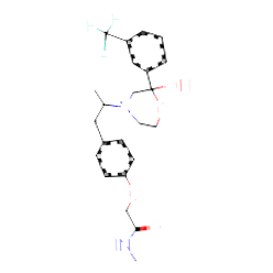 CNC(=O)COc1ccc(CC(C)N2CCOC(O)(c3cccc(C(F)(F)F)c3)C2)cc1